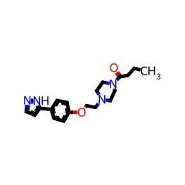 CCCC(=O)N1CCN(CCOc2ccc(-c3ccn[nH]3)cc2)CC1